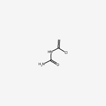 C=C(Cl)NC(N)=O